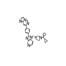 O=C(C1CC1)N1CC[C@H](Cn2c(-c3ccc(-c4cc5nccn5cn4)cc3)nc3cnccc32)C1